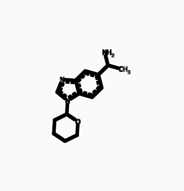 CC(N)c1ccc2c(c1)ncn2C1CCCCO1